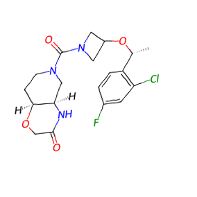 C[C@@H](OC1CN(C(=O)N2CC[C@@H]3OCC(=O)N[C@@H]3C2)C1)c1ccc(F)cc1Cl